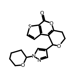 O=c1oc2c(c3ccsc13)C(c1cnn(C3CCCCO3)c1)OCC2